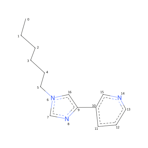 CCCCCCn1cnc(-c2cccnc2)c1